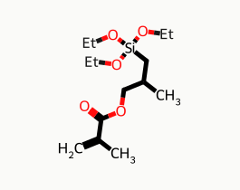 C=C(C)C(=O)OCC(C)C[Si](OCC)(OCC)OCC